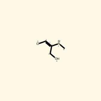 CN/C(=C/Cl)CO